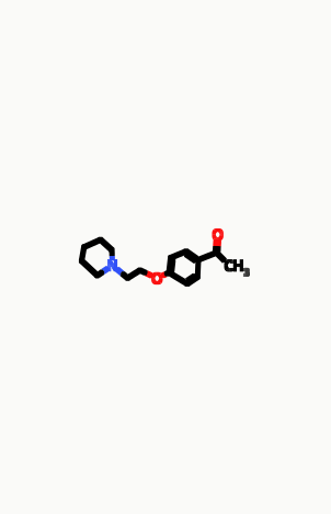 CC(=O)c1ccc(OCCN2CCCCC2)cc1